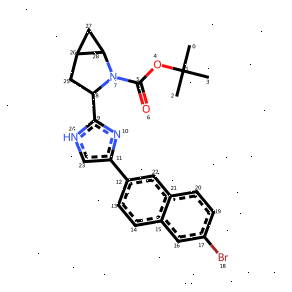 CC(C)(C)OC(=O)N1C(c2nc(-c3ccc4cc(Br)ccc4c3)c[nH]2)CC2CC21